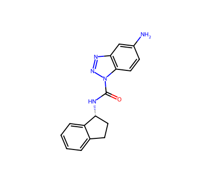 Nc1ccc2c(c1)nnn2C(=O)N[C@@H]1CCc2ccccc21